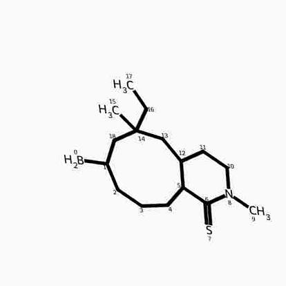 BC1CCCC2C(=S)N(C)CCC2CC(C)(CC)C1